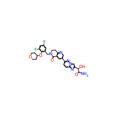 NC(=O)C(O)c1cn2nc(-c3cnc4c(c3)C(=O)N(Cc3cc(F)cc(F)c3OC3CCOCC3)CC4)ccc2n1